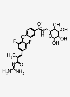 C/C(=C\c1cc(F)c(Oc2ccc([S+]([O-])NC[C@H]3OC(O)[C@H](O)[C@@H](O)[C@@H]3O)cc2)c(F)c1)C(=O)N=C(N)N